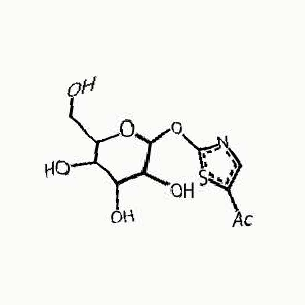 CC(=O)c1cnc(OC2OC(CO)C(O)C(O)C2O)s1